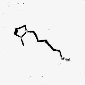 CCCCCCCCCCCCN1CC=CN1C